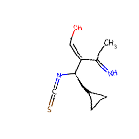 CC(=N)/C(=C\O)[C@H](N=C=S)C1CC1